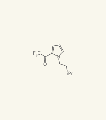 CC(C)CCn1cccc1C(=O)C(F)(F)F